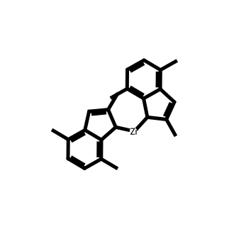 CC1=Cc2c(C)ccc(C)c2[CH]1[Zr][CH]1C(C)=Cc2c(C)ccc(C)c21